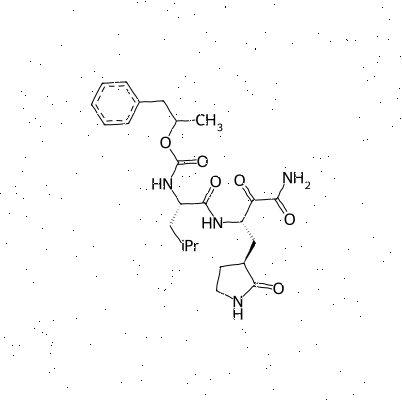 CC(C)C[C@H](NC(=O)OC(C)Cc1ccccc1)C(=O)N[C@@H](C[C@@H]1CCNC1=O)C(=O)C(N)=O